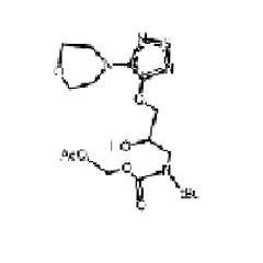 CC(=O)OCOC(=O)N(CC(O)COc1nsnc1N1CCOCC1)C(C)(C)C